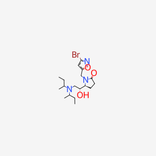 CCC(C)N(C[C@@H](O)[C@@H]1CCC(=O)N1Cc1cc(Br)no1)C(C)CC